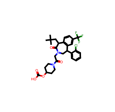 CC(C)(C)CC1C(=O)N(CC(=O)N2CCC(OC(=O)O)CC2)CC(c2ccccc2Cl)c2cc(C(F)(F)F)ccc21